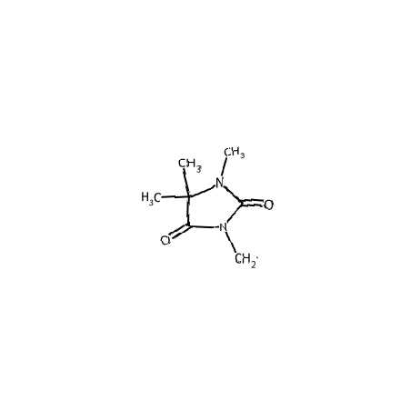 [CH2]N1C(=O)N(C)C(C)(C)C1=O